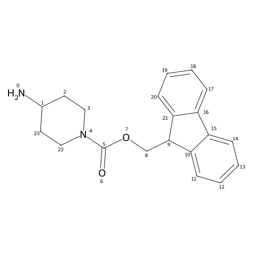 NC1CCN(C(=O)OCC2c3ccccc3-c3ccccc32)CC1